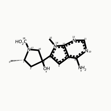 C[C@H]1CC(O)(c2cc3c(N)ncnc3n2C)CN1C(=O)O